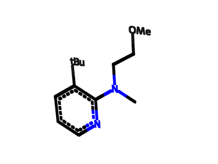 COCCN(C)c1ncccc1C(C)(C)C